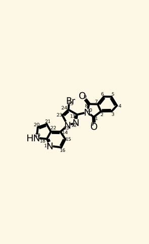 O=C1c2ccccc2C(=O)N1c1nn(-c2ccnc3[nH]ccc23)cc1Br